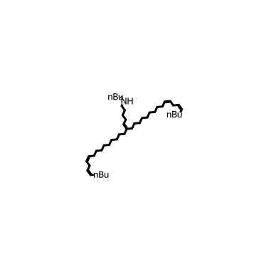 CCCC/C=C\C/C=C\CCCCCCCCCC(=CCCCCNCCCC)CCCCCCCCC/C=C\C/C=C\CCCC